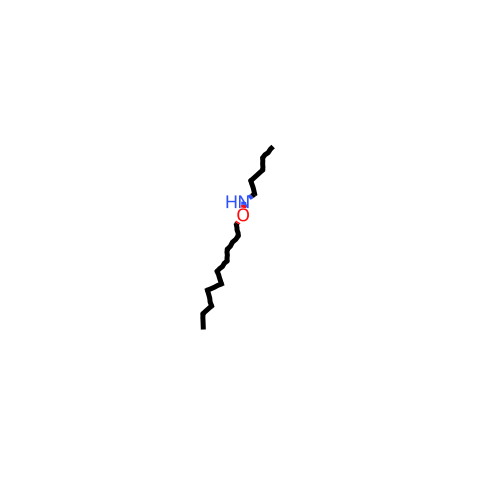 CCCCCCCCCCONCCCCC